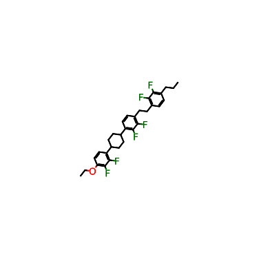 CCCc1ccc(CCc2ccc(C3CCC(c4ccc(OCC)c(F)c4F)CC3)c(F)c2F)c(F)c1F